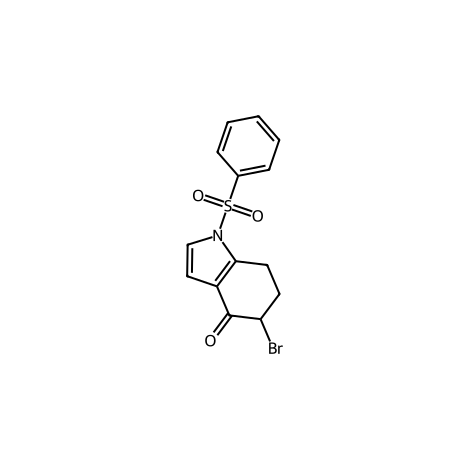 O=C1c2ccn(S(=O)(=O)c3ccccc3)c2CCC1Br